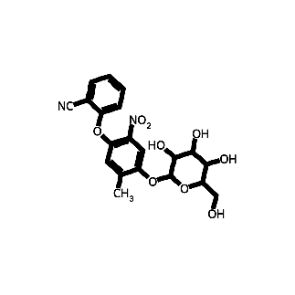 Cc1cc(Oc2ccccc2C#N)c([N+](=O)[O-])cc1OC1OC(CO)C(O)C(O)C1O